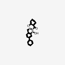 O=C(c1ccccc1Cl)N1N=Cc2ccc(-c3ccccc3)cc2B1O